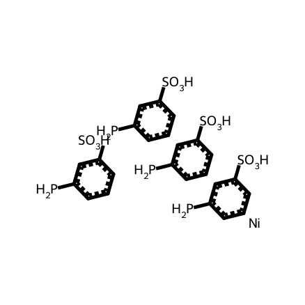 O=S(=O)(O)c1cccc(P)c1.O=S(=O)(O)c1cccc(P)c1.O=S(=O)(O)c1cccc(P)c1.O=S(=O)(O)c1cccc(P)c1.[Ni]